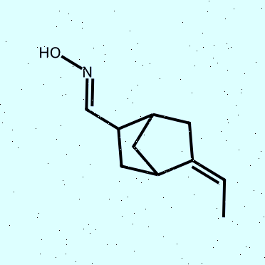 CC=C1CC2CC1CC2C=NO